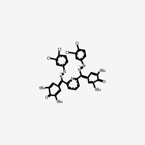 CC(C)(C)C1=CC(=C(/N=N/c2ccc(Cl)c(Cl)c2)c2cccc(C(/N=N/c3ccc(Cl)c(Cl)c3)=C3C=C(C(C)(C)C)C(=O)C(C(C)(C)C)=C3)n2)C=C(C(C)(C)C)C1=O